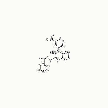 CC(CCc1cc2cccnc2n(-c2cccc(N(C)C)c2)c1=O)c1ccncc1